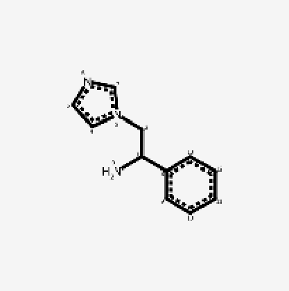 NC(Cn1ccnc1)c1ccccc1